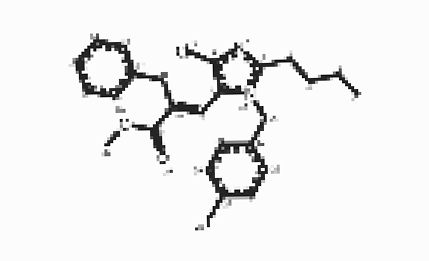 CCCCc1nc(Cl)c(C=C(Cc2ccccc2)C(=O)OC)n1Cc1ccc(I)cc1